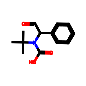 CC(C)(C)N(C(=O)O)C(C=O)c1ccccc1